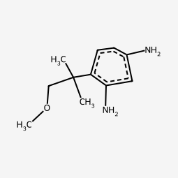 COCC(C)(C)c1ccc(N)cc1N